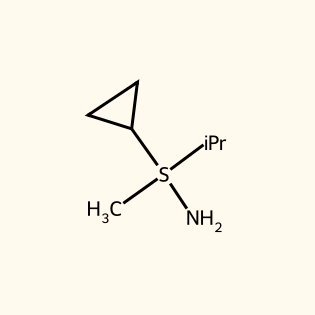 CC(C)S(C)(N)C1CC1